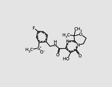 C[S+]([O-])c1cc(F)ccc1CNC(=O)c1nc2n(c(=O)c1O)CCOC2(C)C